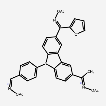 CC(=O)ON=C(c1ccc2c(c1)c1cc(/C(C)=N/OC(C)=O)ccc1n2-c1ccc(/C=N\OC(C)=O)cc1)c1ccco1